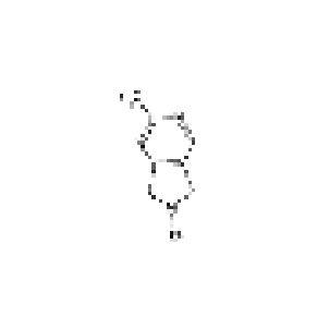 CCN1Cc2cnc(C(F)(F)F)nc2C1